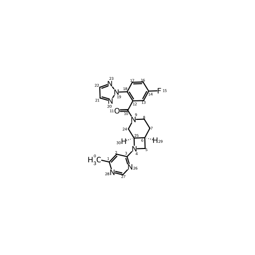 Cc1cc(N2C[C@@H]3CCN(C(=O)c4cc(F)ccc4-n4nccn4)C[C@@H]32)ncn1